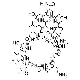 CCO[C@H](C(N)=O)[C@@H]1NC(=O)[C@H](CCC(N)=O)N(C)C(=O)[C@H](CC(C)C)NC(=O)[C@@H](CCCCN)NC(=O)C([C@@H](C)O)NC(=O)[C@H](N2C(=O)[C@@H](NC(=O)[C@H](CO)NC(=O)[C@H](CCC(N)=O)NC(=O)[C@@H](CC(=O)O)NC(=O)C(C)[C@H](O)C(C)CC(C)C)[C@@H](C)[C@@H]2C(N)=O)[C@@H](C)OC(=O)[C@@H]2CCCCN2C(=O)[C@@H](CC(=O)O)NC1=O